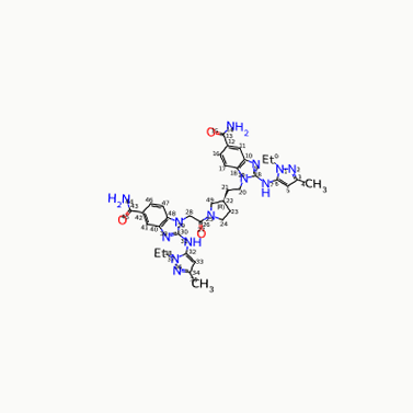 CCn1nc(C)cc1Nc1nc2cc(C(N)=O)ccc2n1CC[C@H]1CCN(C(=O)Cn2c(Nc3cc(C)nn3CC)nc3cc(C(N)=O)ccc32)C1